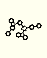 c1ccc(-c2ccc(-c3nc(-c4cccc(-n5c6ccccc6c6cc(-c7ccccc7)ccc65)c4)nc(-n4c5ccccc5c5ccccc54)n3)cc2)cc1